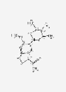 COc1cc2c(cc1N1CC(C)N(C)C(C)C1)N(C(C)=O)CC2